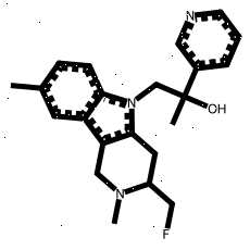 Cc1ccc2c(c1)c1c(n2CC(C)(O)c2cccnc2)CC(CF)N(C)C1